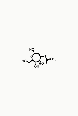 CC(=O)NC1C[C@H](O)OC(CO)[C@H](O)C1O